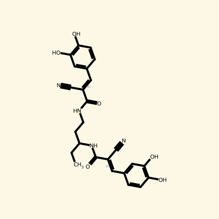 CCC(CCNC(=O)/C(C#N)=C/c1ccc(O)c(O)c1)NC(=O)/C(C#N)=C/c1ccc(O)c(O)c1